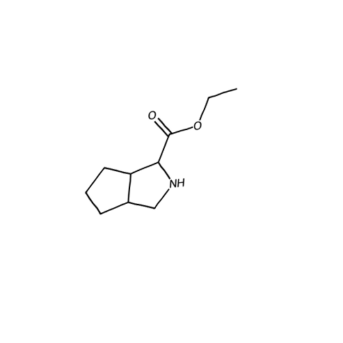 CCOC(=O)C1NCC2CCCC21